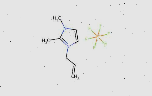 C=CC[n+]1ccn(C)c1C.F[P-](F)(F)(F)(F)F